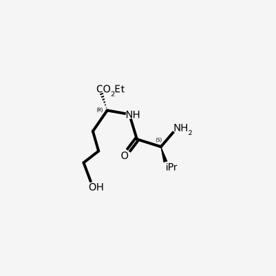 CCOC(=O)[C@@H](CCCO)NC(=O)[C@@H](N)C(C)C